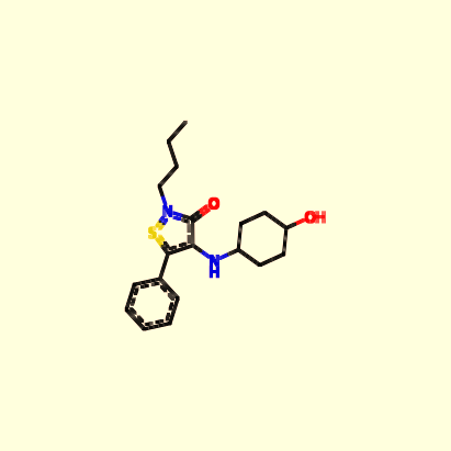 CCCCn1sc(-c2ccccc2)c(NC2CCC(O)CC2)c1=O